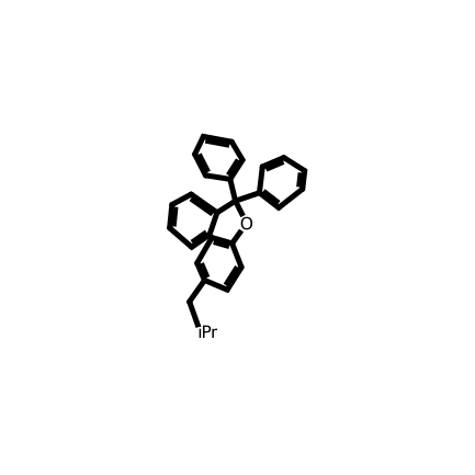 CC(C)Cc1ccc(OC(c2ccccc2)(c2ccccc2)c2ccccc2)cc1